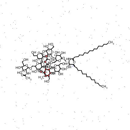 CCCCCCCCCCCCC/C=C/[C@@H](O)[C@H](CO[C@@H]1OC(CO)[C@@H](O[C@@H]2OC(CO)[C@H](O)[C@H](O[C@@H]3OC(CO)[C@@H](O)[C@H](O[C@@H]4OC(CO[C@@H]5OC(CO)[C@@H](O)[C@H](O)C5NC(C)=O)[C@H](O)[C@H](O[C@@H]5OC(CO)[C@@H](O)[C@H](O[C@@H]6OC(CO)[C@H](O)[C@H](O)C6O[C@H]6OC(C)[C@@H](O)C(O)[C@@H]6O)C5NC(C)=O)C4O)C3NC(C)=O)C2O)[C@H](O)C1O)NC(=O)CCCCCCCCCCCCCCC